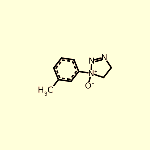 Cc1cccc([N+]2([O-])CCN=N2)c1